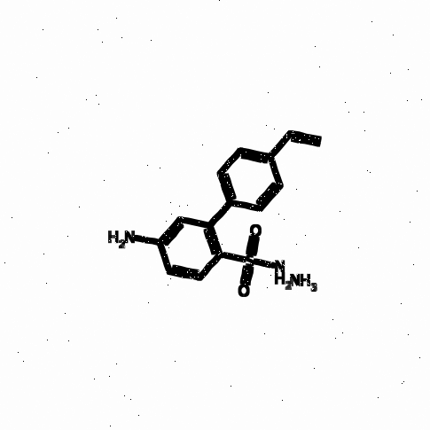 C=Cc1ccc(-c2cc(N)ccc2S(N)(=O)=O)cc1.N